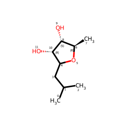 CC(C)CC1O[C@H](C)[C@@H](O)[C@H]1O